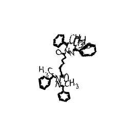 CC(=NN(C(=O)CCCCC(=O)N(N=C(C)c1ccccc1)C(C)c1ccccc1)C(C)c1ccccc1)c1ccccc1